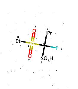 CCS(=O)(=O)C(F)(C(C)C)S(=O)(=O)O